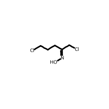 ON=C(CCl)CCCCl